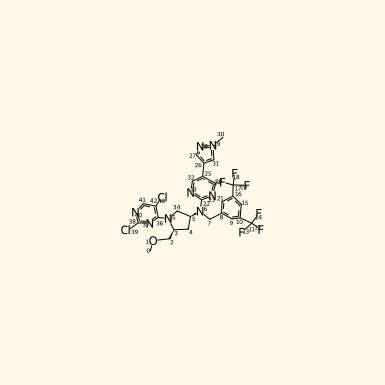 COC[C@@H]1C[C@H](N(Cc2cc(C(F)(F)F)cc(C(F)(F)F)c2)c2ncc(-c3cnn(C)c3)cn2)CN1c1nc(Cl)ncc1Cl